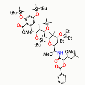 C=C(C)C[C@H](OC)[C@H](OC(=O)c1ccccc1)C(=O)NC(OC)[C@@H]1C[C@@H](O[Si](CC)(CC)CC)C(C)(C)[C@@H](C[C@H](O[Si](C)(C)C)[C@@H](C)[C@@H](Cc2cc(O[Si](C)(C)C(C)(C)C)cc(O[Si](C)(C)C(C)(C)C)c2C(=O)OC)O[Si](C)(C)C(C)(C)C)O1